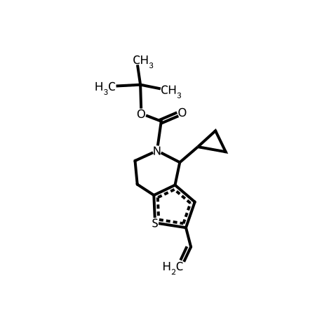 C=Cc1cc2c(s1)CCN(C(=O)OC(C)(C)C)C2C1CC1